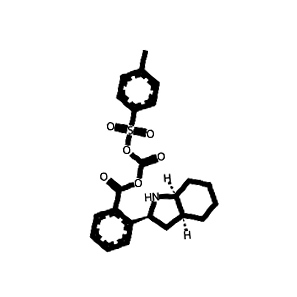 Cc1ccc(S(=O)(=O)OC(=O)OC(=O)c2ccccc2[C@@H]2C[C@@H]3CCCC[C@@H]3N2)cc1